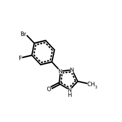 Cc1nn(-c2ccc(Br)c(F)c2)c(=O)[nH]1